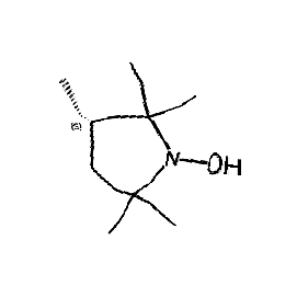 C[C@H]1CC(C)(C)N(O)C1(C)C